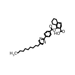 CCCCCCCCCCc1cnc(-c2ccc(C(=O)Oc3c(C(=O)O)ccc4c3CCCC4)cc2)nc1